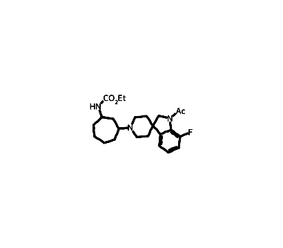 CCOC(=O)NC1CCCCC(N2CCC3(CC2)CN(C(C)=O)c2c(F)cccc23)C1